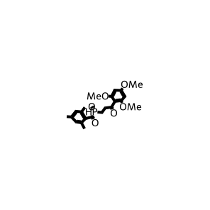 COc1cc(OC)c(C(=O)CC[PH](=O)C(=O)c2c(C)cc(C)cc2C)c(OC)c1